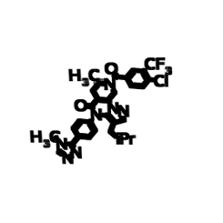 CC(C)Cc1cnn2c3c(c(=O)n(-c4ccc(-c5nncn5C)cc4)c12)C[C@H](C)N(C(=O)c1ccc(Cl)c(C(F)(F)F)c1)C3